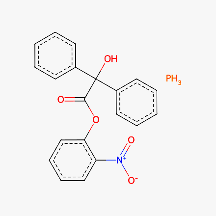 O=C(Oc1ccccc1[N+](=O)[O-])C(O)(c1ccccc1)c1ccccc1.P